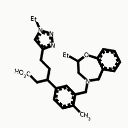 CCC1CN(Cc2cc(C(CCc3cn(CC)nn3)CC(=O)O)ccc2C)Cc2ccccc2O1